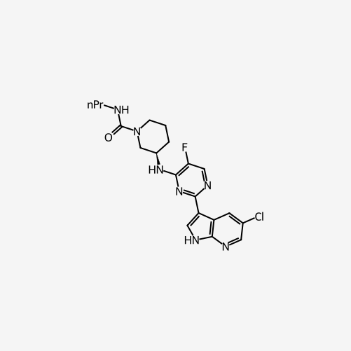 CCCNC(=O)N1CCC[C@@H](Nc2nc(-c3c[nH]c4ncc(Cl)cc34)ncc2F)C1